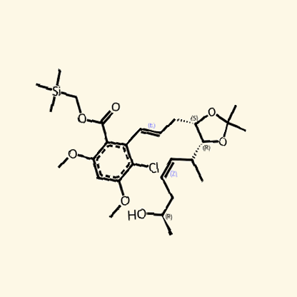 COc1cc(OC)c(C(=O)OC[Si](C)(C)C)c(/C=C/C[C@@H]2OC(C)(C)O[C@@H]2C(C)/C=C\C[C@@H](C)O)c1Cl